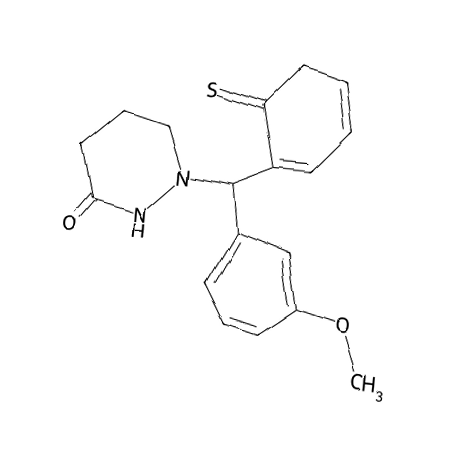 COc1cccc(C(C2=CC=CCC2=S)N2CCCC(=O)N2)c1